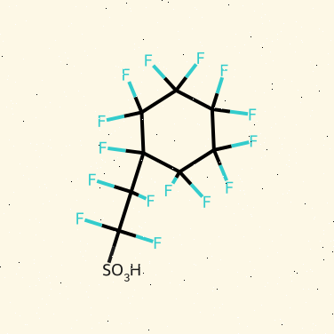 O=S(=O)(O)C(F)(F)C(F)(F)C1(F)C(F)(F)C(F)(F)C(F)(F)C(F)(F)C1(F)F